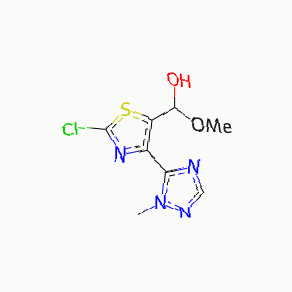 COC(O)c1sc(Cl)nc1-c1ncnn1C